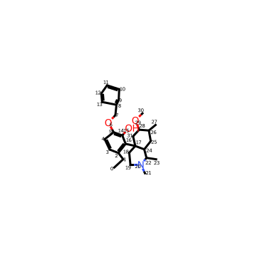 CCc1ccc(OCc2ccccc2)c(O)c1C12CCN(C)C(C)C1CC(C)C(OC)C2